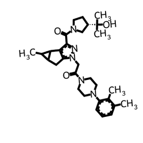 Cc1cccc(N2CCN(C(=O)Cn3nc(C(=O)N4CC[C@H](C(C)(C)O)C4)c4c3CC3C(C)C43)CC2)c1C